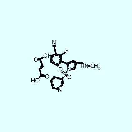 CNCc1cc(-c2cccc(C#N)c2F)n(S(=O)(=O)c2cccnc2)c1.O=C(O)/C=C/C(=O)O